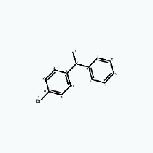 CC(c1ccccc1)c1ccc(Br)cc1